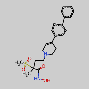 CC(CCN1CC=C(c2ccc(-c3ccccc3)cc2)CC1)(C(=O)NO)S(C)(=O)=O